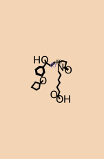 O=C(O)CCCCCCN1C(=O)CC[C@@H]1/C=C/C(O)c1cccc(OC2CCCC2)c1